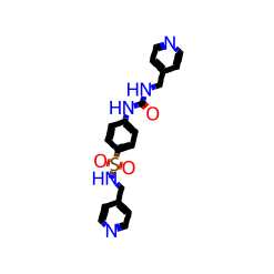 O=C(NCc1ccncc1)Nc1ccc(S(=O)(=O)NCc2ccncc2)cc1